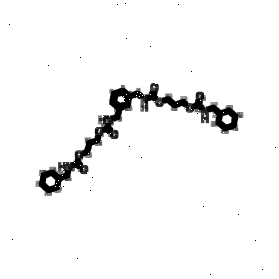 O=C(NCc1cccc(CNC(=O)OCCCOC(=O)NCC2CCCCC2)c1)OCCCOC(=O)NCC1CCCCC1